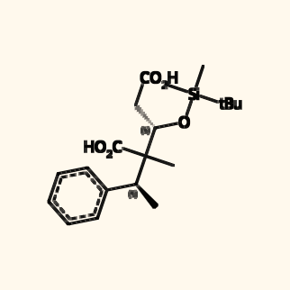 C[C@@H](c1ccccc1)C(C)(C(=O)O)[C@H](CC(=O)O)O[Si](C)(C)C(C)(C)C